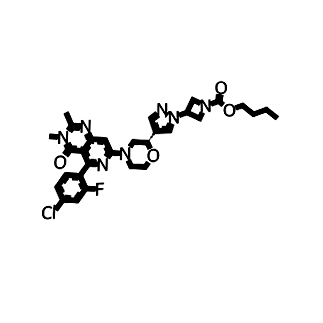 CCCCOC(=O)N1CC(n2cc([C@H]3CN(c4cc5nc(C)n(C)c(=O)c5c(-c5ccc(Cl)cc5F)n4)CCO3)cn2)C1